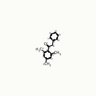 Cc1cc(C)c(C(=O)[CH]c2ccccc2)c(C)c1